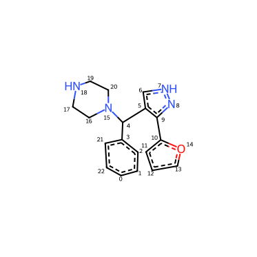 c1ccc(C(c2c[nH]nc2-c2ccco2)N2CCNCC2)cc1